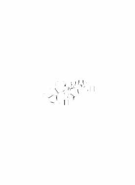 COc1c(C(N)=O)cc(F)c2[nH]c(-c3c(C(=O)O)sc4c(F)ccc(Cl)c34)nc12